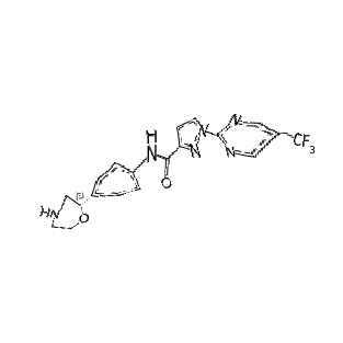 O=C(Nc1ccc([C@H]2CNCCO2)cc1)c1ccn(-c2ncc(C(F)(F)F)cn2)n1